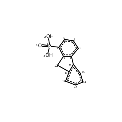 O=P(O)(O)c1cccc2c1[CH]c1ccccc1-2